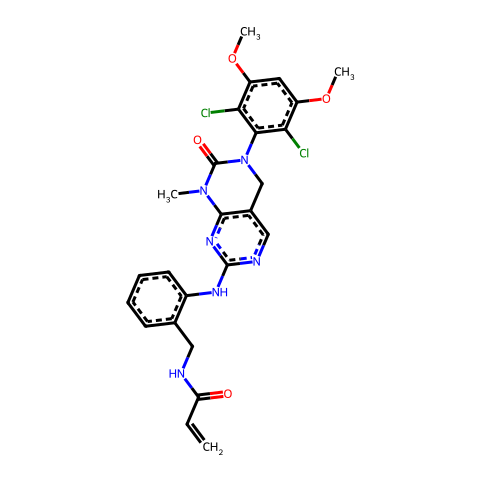 C=CC(=O)NCc1ccccc1Nc1ncc2c(n1)N(C)C(=O)N(c1c(Cl)c(OC)cc(OC)c1Cl)C2